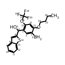 Bc1cc(C(O)c2cc3ccccc3s2)c(OC(F)(F)F)cc1OCCCC